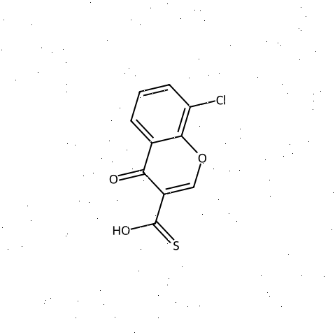 O=c1c(C(O)=S)coc2c(Cl)cccc12